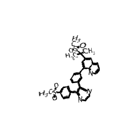 CC(C)(c1cc(-c2cccc(-c3nccnc3-c3ccc(S(C)(=O)=O)cc3)c2)c2ncccc2c1)S(C)(=O)=O